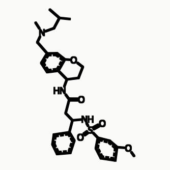 COc1cccc(S(=O)(=O)NC(CC(=O)NC2CCOc3cc(CN(C)CC(C)C)ccc32)c2ccccc2)c1